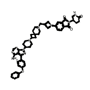 Nc1ncnc2c1c(-c1ccc(Oc3ccccc3)cc1)nn2C1CCN(C2CC3(CCN(CC4CN(c5ccc6c(c5)C(=O)N(C5CCC(=O)NC5)C6=O)C4)CC3)C2)CC1